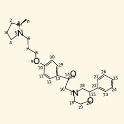 C[C@@H]1CCCN1CCCOc1ccc(C(=O)CN2CCOC(c3ccccc3)C2)cc1